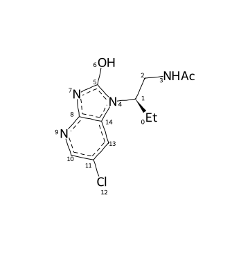 CC[C@H](CNC(C)=O)n1c(O)nc2ncc(Cl)cc21